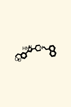 c1ccc2c(CCN3CCC(c4cc(-c5ccc6c(c5)CCOO6)[nH]n4)CC3)cccc2c1